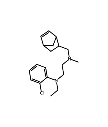 CCN(CCN(C)CC1CC2C=CC1C2)c1ccccc1Cl